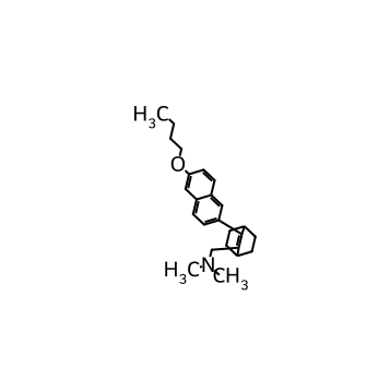 CCCCOc1ccc2cc(C3=C(CN(C)C)C4CCC3CC4)ccc2c1